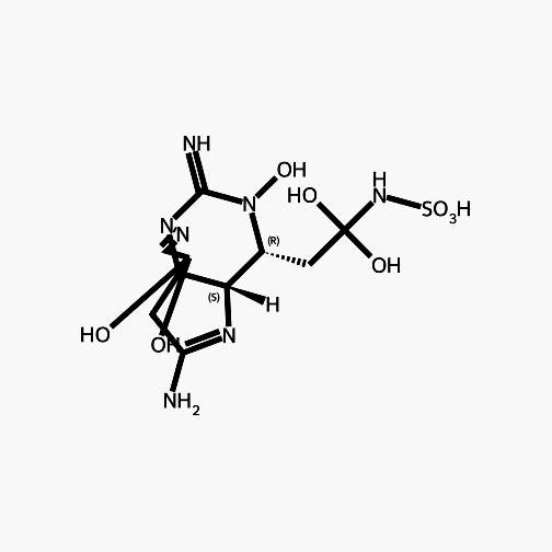 N=C1N(O)[C@H](CC(O)(O)NS(=O)(=O)O)[C@@H]2N=C(N)CC23N1N=CC3(O)O